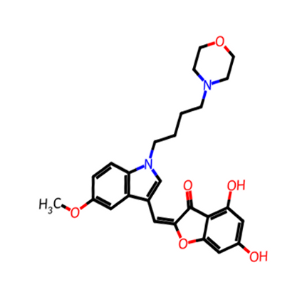 COc1ccc2c(c1)c(C=C1Oc3cc(O)cc(O)c3C1=O)cn2CCCCN1CCOCC1